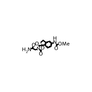 COC(=O)Nc1ccc2c(c1)CC[C@@]21OC(=O)N(CC(N)=O)C1=O